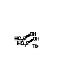 O=S(=O)(O)O.O=S(=O)(O)O.[Tb]